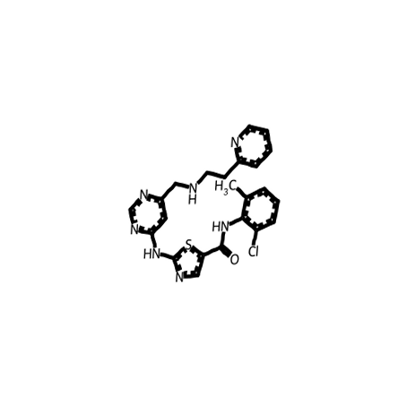 Cc1cccc(Cl)c1NC(=O)c1cnc(Nc2cc(CNCCc3ccccn3)ncn2)s1